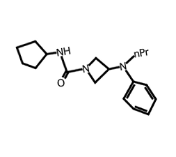 CCCN(c1ccccc1)C1CN(C(=O)NC2CCCC2)C1